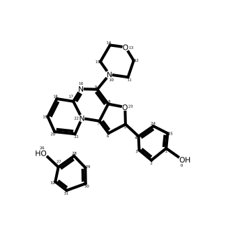 Oc1ccc(C2C=C3C(=C(N4CCOCC4)N=C4C=CC=CN34)O2)cc1.Oc1ccccc1